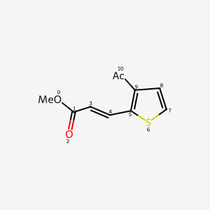 COC(=O)C=Cc1sccc1C(C)=O